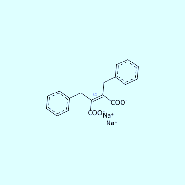 O=C([O-])/C(Cc1ccccc1)=C(/Cc1ccccc1)C(=O)[O-].[Na+].[Na+]